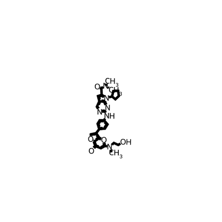 CN(C)C(=O)c1cc2cnc(Nc3ccc(-c4coc5c(=O)cc(N(C)CCO)oc45)cc3)nc2n1C1CCCC1